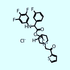 O=C(C[N+]12CCC(CC1)[C@@H](OC(=O)C(Nc1cc(F)c(F)c(F)c1)c1cccc(F)c1)C2)c1cccs1.[Cl-]